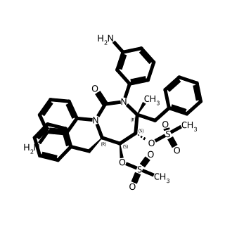 C[C@@]1(Cc2ccccc2)[C@H](OS(C)(=O)=O)[C@@H](OS(C)(=O)=O)[C@@H](Cc2ccccc2)N(c2cccc(N)c2)C(=O)N1c1cccc(N)c1